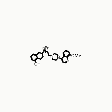 CCCN(CCN1CCN(c2ccnc3c(OC)cccc23)CC1)C1CCc2c(O)cccc2C1